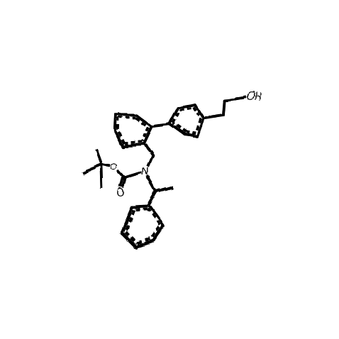 CC(c1ccccc1)N(Cc1ccccc1-c1ccc(CCO)cc1)C(=O)OC(C)(C)C